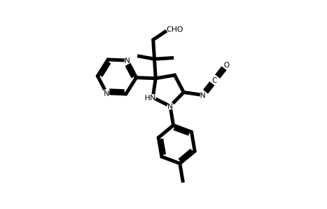 Cc1ccc(N2NC(c3cnccn3)(C(C)(C)CC=O)CC2N=C=O)cc1